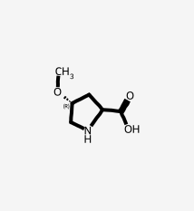 CO[C@H]1CNC(C(=O)O)C1